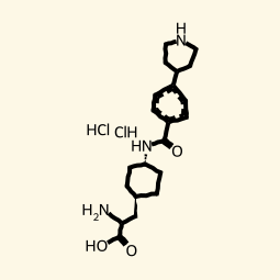 Cl.Cl.NC(C[C@H]1CC[C@H](NC(=O)c2ccc(C3CCNCC3)cc2)CC1)C(=O)O